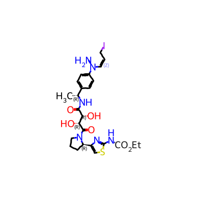 CCOC(=O)Nc1nc([C@H]2CCCN2C(=O)[C@H](O)[C@@H](O)C(=O)N[C@H](C)c2ccc(N(N)/C=C\CI)cc2)cs1